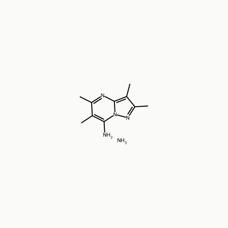 Cc1nc2c(C)c(C)nn2c(N)c1C.N